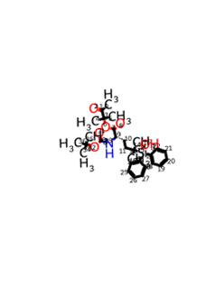 CC(=O)C(C)(C)OC(=O)[C@H](CCC(C)(C)[Si](O)(c1ccccc1)c1ccccc1)NC(=O)OC(C)(C)C